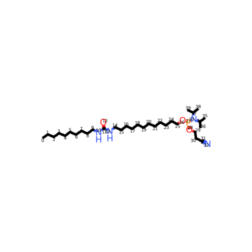 CCCCCCCCCCNC(=O)NCCCCCCCCCCCCOP(OCCC#N)N(C(C)C)C(C)C